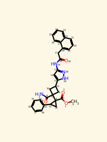 COC(=O)C1(C2(C(N)=O)CC(c3cc(NC(=O)Cc4cccc5ccccc45)n[nH]3)C2)CC1c1ccccc1